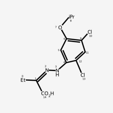 CCC(=NNc1cc(OC(C)C)c(Cl)cc1Cl)C(=O)O